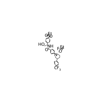 CCC(F)(F)OC[C@@H]1CCC(c2ccc(C(F)(F)F)cc2)CN1c1ccc(C(=O)N[C@@H](CO)c2ccc(S(=O)(=O)CC)cc2)cc1